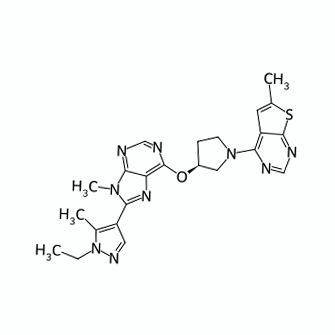 CCn1ncc(-c2nc3c(O[C@H]4CCN(c5ncnc6sc(C)cc56)C4)ncnc3n2C)c1C